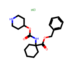 Cl.O=C(NC1(C(=O)OCc2ccccc2)CCCCC1)OC1CCNCC1